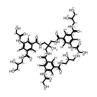 CC(CNC(=O)c1c(I)c(NC(=O)CO)c(I)c(C(=O)NCC(O)CO)c1I)(CNC(=O)c1c(I)c(NC(=O)CO)c(I)c(C(=O)NCC(O)CO)c1I)CNC(=O)c1c(I)c(NC(=O)CO)c(I)c(C(=O)NCC(O)CO)c1I